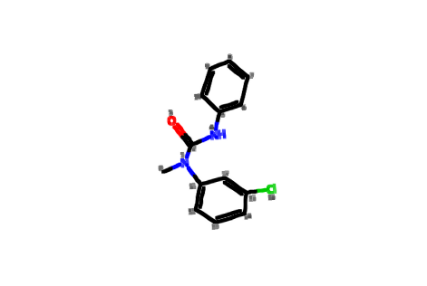 CN(C(=O)Nc1ccccc1)c1cccc(Cl)c1